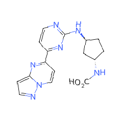 O=C(O)N[C@H]1CC[C@H](Nc2nccc(-c3ccn4nccc4n3)n2)C1